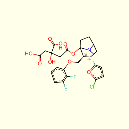 CN1C2CCC1(OC(=O)CC(O)(CC(=O)O)C(=O)O)[C@H](COc1cccc(F)c1F)[C@@H](c1ccc(Cl)o1)C2